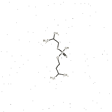 CC(C)CCOP(O)(=S)SCC(C)C